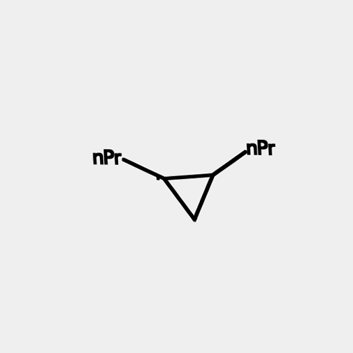 CCC[C]1CC1CCC